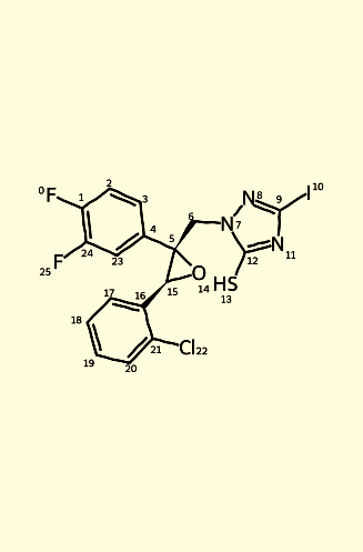 Fc1ccc([C@]2(Cn3nc(I)nc3S)O[C@H]2c2ccccc2Cl)cc1F